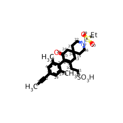 CC#Cc1cc(C)c(C2=C(CCS(=O)(=O)O)CC3(CCN(S(=O)(=O)CC)CC3)CC2=O)c(C)c1